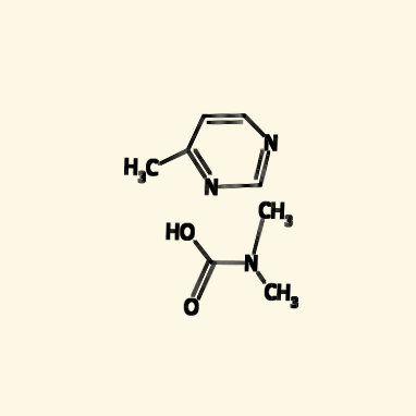 CN(C)C(=O)O.Cc1ccncn1